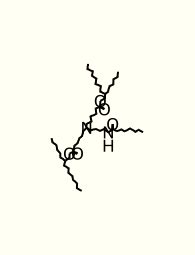 CCCCCCCCC(CCCCCC)COC(=O)CCCCCN(CCCCCC(=O)OCC(CCCCCC)CCCCCCCC)CCCCNC(=O)CCCCCCC